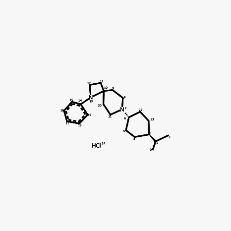 CC(C)[C@H]1CC[C@H](N2CCC3(CCN3c3ccccc3)CC2)CC1.Cl